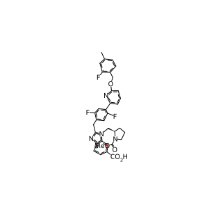 COC(=O)N1CCC[C@@H]1Cn1c(Cc2cc(F)c(-c3cccc(OCc4ccc(C)cc4F)n3)cc2F)nc2ccc(C(=O)O)cc21